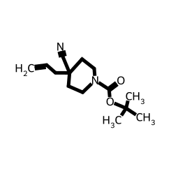 C=CCC1(C#N)CCN(C(=O)OC(C)(C)C)CC1